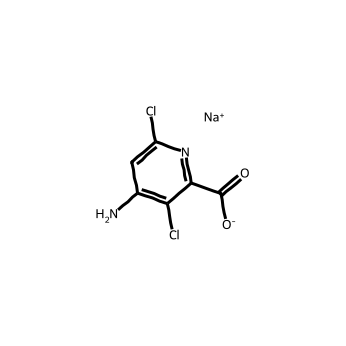 Nc1cc(Cl)nc(C(=O)[O-])c1Cl.[Na+]